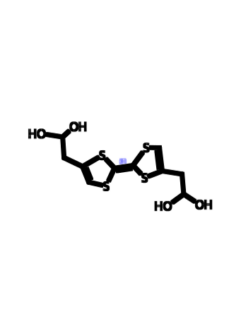 OC(O)CC1=CS/C(=C2/SC=C(CC(O)O)S2)S1